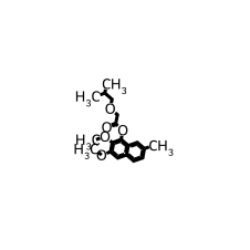 COc1cc2ccc(C)cc2c(OC(=O)COCC(C)C)c1OC